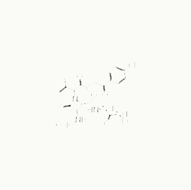 C=C(C)C(C(=O)OCC(=O)c1ccc(Cl)cc1)N1C(=O)C(NC=O)C1[S+]([O-])NNC(=O)NCC